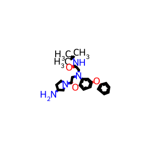 CC(C)(C)NC(=O)CN(CC(=O)N1CCC(N)C1)c1cccc(Oc2ccccc2)c1